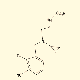 N#Cc1cccc(CN(CCNC(=O)O)C2CC2)c1F